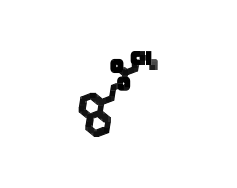 C=CC(=O)OCCc1cccc2ccccc12